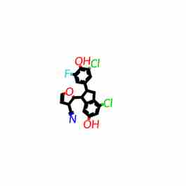 N#CC1C=COC1C1c2cc(O)cc(Cl)c2CC1c1cc(F)c(O)c(Cl)c1